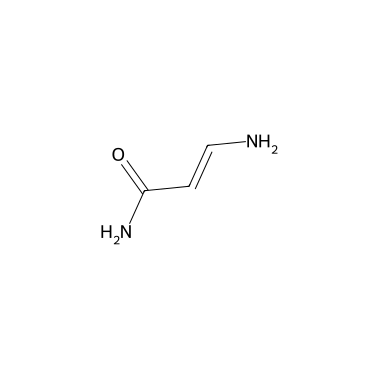 NC=CC(N)=O